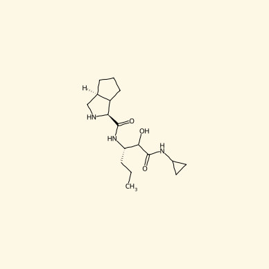 CCC[C@H](NC(=O)[C@H]1NC[C@H]2CCCC21)C(O)C(=O)NC1CC1